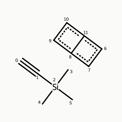 C#C[Si](C)(C)C.c1cc2ccc1-2